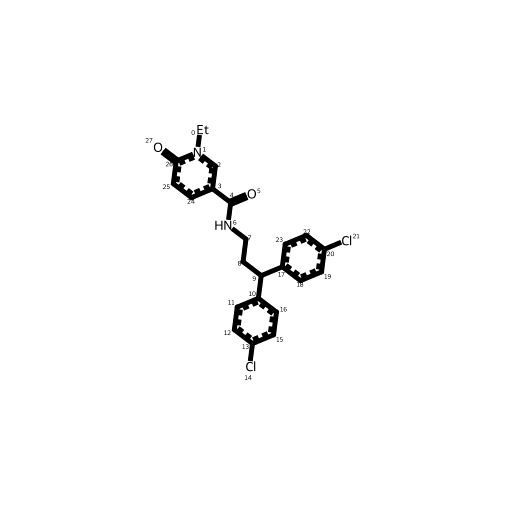 CCn1cc(C(=O)NCCC(c2ccc(Cl)cc2)c2ccc(Cl)cc2)ccc1=O